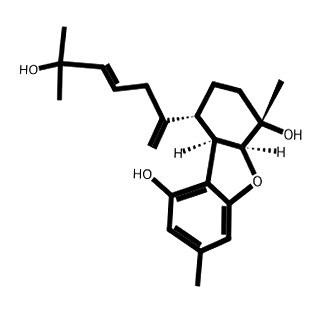 C=C(C/C=C/C(C)(C)O)[C@@H]1CC[C@](C)(O)[C@H]2Oc3cc(C)cc(O)c3[C@@H]12